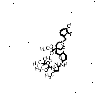 COC(=O)C1(Cc2nc(Nc3cc(C)n(C(=O)OC(C)(C)C)n3)ccc2F)CCN(Cc2cccc(Cl)c2F)CC1